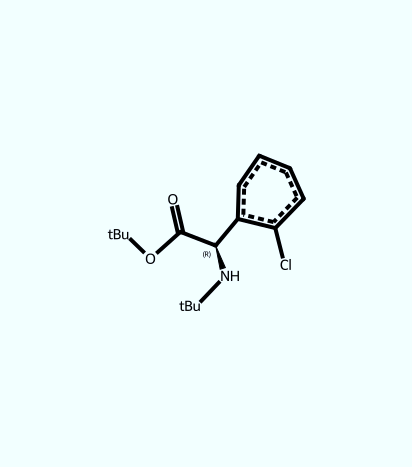 CC(C)(C)N[C@@H](C(=O)OC(C)(C)C)c1ccccc1Cl